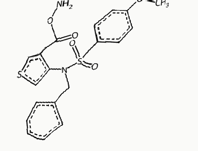 COc1ccc(S(=O)(=O)N(Cc2ccccc2)c2cscc2C(=O)ON)cc1